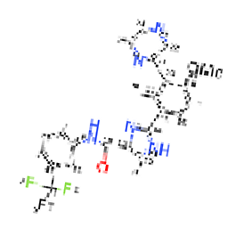 CCC(F)(F)c1cccc(NC(=O)c2nc(-c3ccc(OC)c(-c4cnccn4)c3C)[nH]c2C)c1